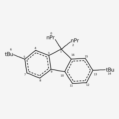 CCCC1(CCC)c2cc(C(C)(C)C)ccc2-c2ccc(C(C)(C)C)cc21